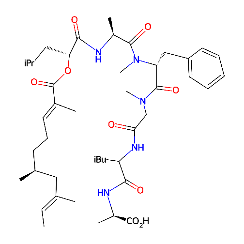 C/C=C(\C)C[C@@H](C)CC/C=C(\C)C(=O)O[C@H](CC(C)C)C(=O)N[C@@H](C)C(=O)N(C)[C@H](Cc1ccccc1)C(=O)N(C)CC(=O)NC(C(=O)N[C@H](C)C(=O)O)C(C)CC